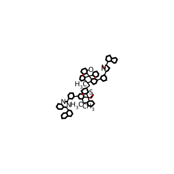 CC1(C)c2ccccc2C2(c3ccccc3Sc3c(CC4(C)c5ccccc5C5(c6ccccc6Oc6ccccc65)c5cc(-c6cccc(-c7ccc(-c8cccc9ccccc89)nn7)c6)ccc54)cccc32)c2ccc(-c3cccc(-c4nc(-c5cccc6ccccc56)c5ccccc5n4)c3)cc21